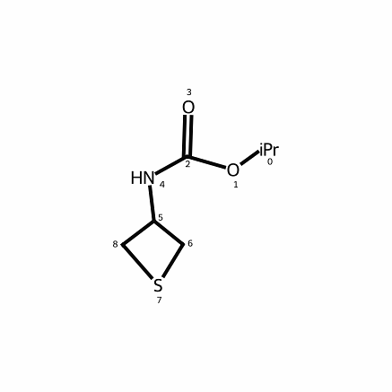 CC(C)OC(=O)NC1CSC1